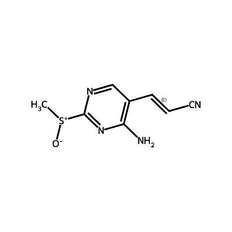 C[S+]([O-])c1ncc(/C=C/C#N)c(N)n1